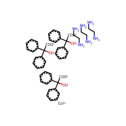 NCCN.NCCN.NCCN.O=C([O-])C(O)(c1ccccc1)c1ccccc1.O=C([O-])C(O)(c1ccccc1)c1ccccc1.O=C([O-])C(O)(c1ccccc1)c1ccccc1.[Co+3]